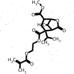 C=C(C)C(=O)OCCOC(=O)C1(C(C)C)CC(C(=O)OC)C2OC(=O)C1C2C